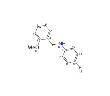 COc1ccccc1CNc1ccc(F)cc1